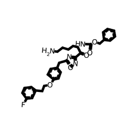 NCCCCC(NC(=O)OCc1ccccc1)C(=O)c1noc(Cc2ccc(OCCc3cccc(F)c3)cc2)n1